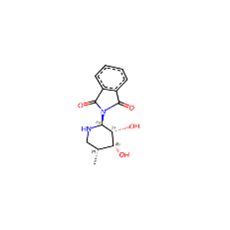 C[C@@H]1CN[C@@H](N2C(=O)c3ccccc3C2=O)[C@H](O)[C@@H]1O